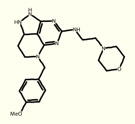 COc1ccc(CN2CCC3NNc4nc(NCCN5CCOCC5)nc2c43)cc1